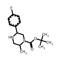 CC1CNC(c2ccc(F)cc2)CN1C(=O)OC(C)(C)C